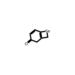 O=C1C=CC2=C(C[Se]2)C1